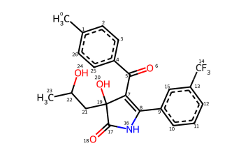 Cc1ccc(C(=O)C2=C(c3cccc(C(F)(F)F)c3)NC(=O)C2(O)CC(C)O)cc1